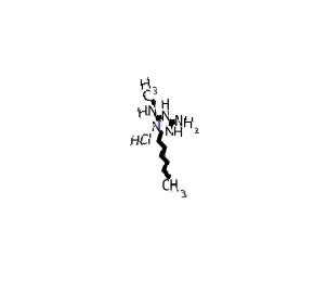 CCCCCCCC/N=C(/NCC)NC(=N)N.Cl